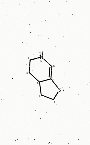 C1=C2SCCC2CCN1